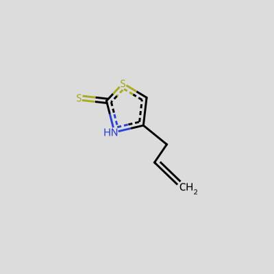 C=CCc1csc(=S)[nH]1